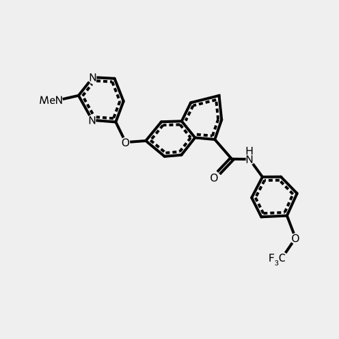 CNc1nccc(Oc2ccc3c(C(=O)Nc4ccc(OC(F)(F)F)cc4)cccc3c2)n1